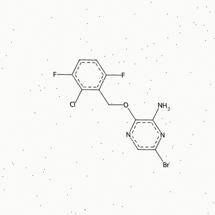 Nc1nc(Br)cnc1OCc1c(F)ccc(F)c1Cl